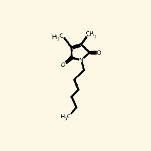 CCCCCCN1C(=O)C(C)=C(C)C1=O